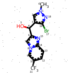 Cn1cc(C(O)c2cn3cc(C(F)(F)F)ccc3n2)c(Br)n1